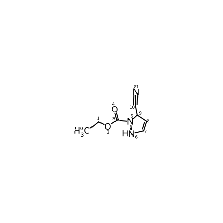 CCOC(=O)N1NC=CC1C#N